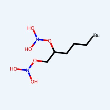 CCC(C)CCCC(CON(O)O)ON(O)O